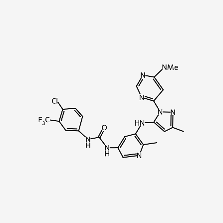 CNc1cc(-n2nc(C)cc2Nc2cc(NC(=O)Nc3ccc(Cl)c(C(F)(F)F)c3)cnc2C)ncn1